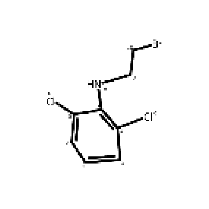 Clc1cccc(Cl)c1NCCBr